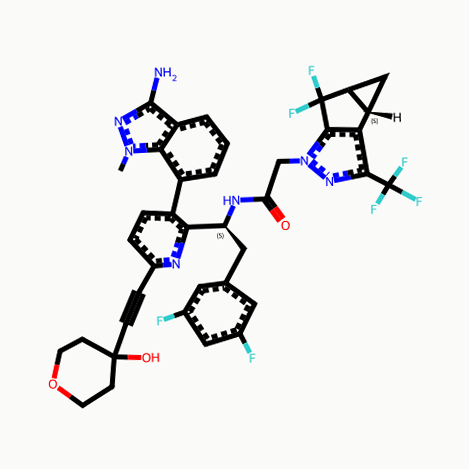 Cn1nc(N)c2cccc(-c3ccc(C#CC4(O)CCOCC4)nc3[C@H](Cc3cc(F)cc(F)c3)NC(=O)Cn3nc(C(F)(F)F)c4c3C(F)(F)C3C[C@H]43)c21